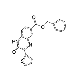 O=C(OCc1ccccc1)c1ccc2[nH]c(=O)c(-c3cccs3)nc2c1